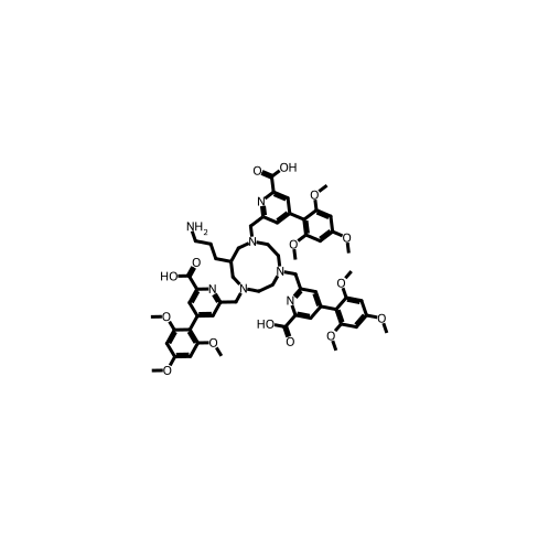 COc1cc(OC)c(-c2cc(CN3CCN(Cc4cc(-c5c(OC)cc(OC)cc5OC)cc(C(=O)O)n4)CC(CCCN)CN(Cc4cc(-c5c(OC)cc(OC)cc5OC)cc(C(=O)O)n4)CC3)nc(C(=O)O)c2)c(OC)c1